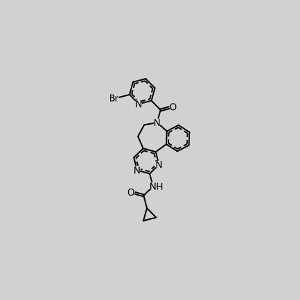 O=C(Nc1ncc2c(n1)-c1ccccc1N(C(=O)c1cccc(Br)n1)CC2)C1CC1